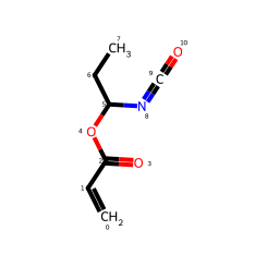 C=CC(=O)OC(CC)N=C=O